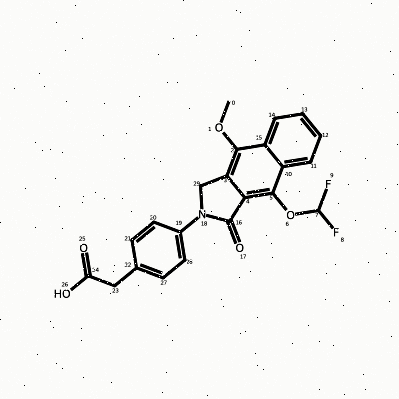 COc1c2c(c(OC(F)F)c3ccccc13)C(=O)N(c1ccc(CC(=O)O)cc1)C2